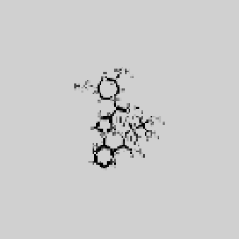 CC(O[Si](C)(C)C(C)(C)C)c1nccnc1-n1cnc(C(=O)N2C[C@@H](C)O[C@@H](C)C2)n1